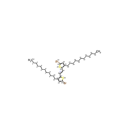 CCCCCCCCCCCCc1cc(Br)sc1/C=C/c1sc(Br)cc1CCCCCCCCCCCC